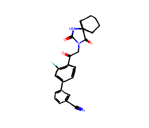 N#Cc1cccc(-c2ccc(C(=O)CN3C(=O)NC4(CCCCC4)C3=O)c(F)c2)c1